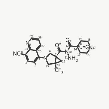 N#Cc1ccc(N2C[C@]3(C(=O)N(N)C(=O)C45CCN(CC4)CC5)C[C@]3(C(F)(F)F)C2)c2cccnc12